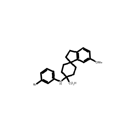 COc1ccc2c(c1)C1(CC2)CCC(Nc2cccc(Br)c2)(C(=O)O)CC1